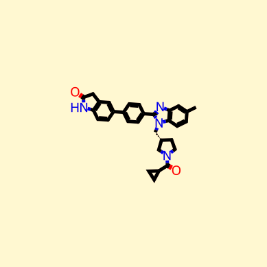 Cc1ccc2c(c1)nc(-c1ccc(-c3ccc4c(c3)CC(=O)N4)cc1)n2C[C@@H]1CCN(C(=O)C2CC2)C1